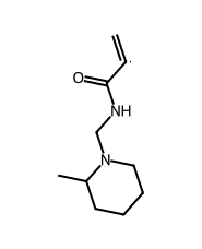 C=[C]C(=O)NCN1CCCCC1C